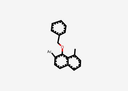 CC(=O)c1ccc2cccc(C)c2c1OCc1ccccc1